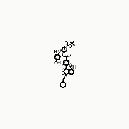 CC(C)(C)OC(=O)N1C[C@H](Nc2ccc(O)cc2)[C@@H](OC(=O)c2cc(O)c(C(=O)c3c(O)cccc3C(=O)OCC3CCCCC3)c(O)c2)C1